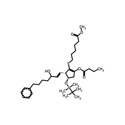 CCCC(=O)OC1=C(SCCCCCC(=O)OC)[C@@H](/C=C/C(O)CCCCc2ccccc2)[C@H](O[Si](C)(C)C(C)(C)C)C1